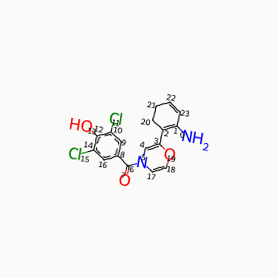 NC1=C(C2=CN(C(=O)c3cc(Cl)c(O)c(Cl)c3)C=CO2)CCC=C1